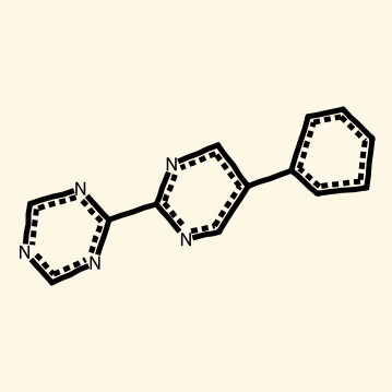 c1ccc(-c2cnc(-c3ncncn3)nc2)cc1